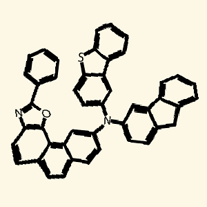 c1ccc(-c2nc3ccc4ccc5ccc(N(c6ccc7c(c6)-c6ccccc6C7)c6ccc7sc8ccccc8c7c6)cc5c4c3o2)cc1